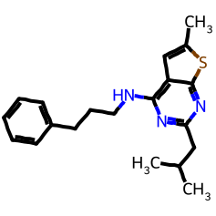 Cc1cc2c(NCCCc3ccccc3)nc(CC(C)C)nc2s1